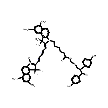 CCC(c1ccc(O)cc1)C(CSCNC(=O)CCCCCN1/C(=C/C=C/C=C/C2=[N+](CC)c3ccc4c(S(=O)(=O)O)cc(S(=O)(=O)O)cc4c3C2(C)C)C(C)(C)c2c1ccc1c(S(=O)(=O)O)cc(S(=O)(=O)O)cc21)c1ccc(O)cc1